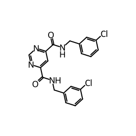 O=C(NCc1cccc(Cl)c1)c1cc(C(=O)NCc2cccc(Cl)c2)ncn1